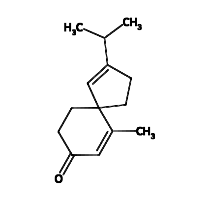 CC1=CC(=O)CCC12C=C(C(C)C)CC2